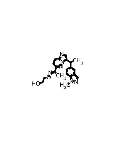 C/C(=N\OCCO)c1ccc2ncc(C(C)c3ccc4c(cnn4C)c3)n2n1